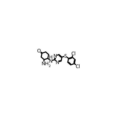 NC1CC(=O)CCC1Nc1ncc(Sc2ccc(Cl)cc2Cl)cn1